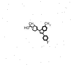 Cc1ccc2c(c1)C(C1=CCN(C(C)O)CC1)C=C2c1ccc(F)cc1